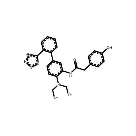 CC(C)CN(CC(C)C)c1ccc(-c2ccccc2-c2nnn[nH]2)cc1NC(=O)Cc1ccc(O)cc1